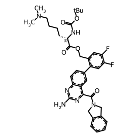 CN(C)CCCC[C@H](NC(=O)OC(C)(C)C)C(=O)OCc1cc(F)c(F)cc1-c1ccc2nc(N)nc(C(=O)N3Cc4ccccc4C3)c2c1